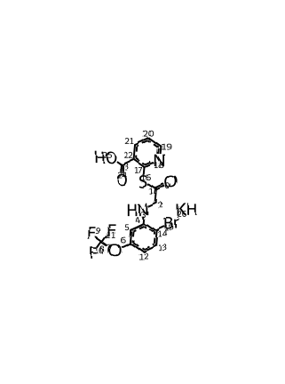 O=C(CNc1cc(OC(F)(F)F)ccc1Br)Sc1ncccc1C(=O)O.[KH]